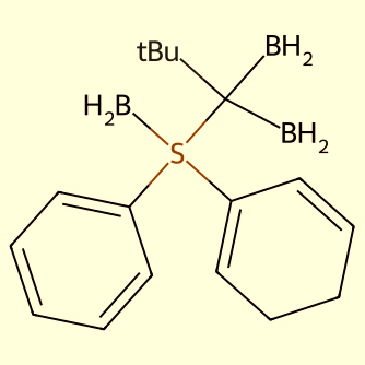 BC(B)(C(C)(C)C)S(B)(C1=CCCC=C1)c1ccccc1